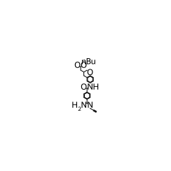 C#CCN=C(N)c1ccc(C(=O)Nc2ccc3c(c2)CC(CC(=O)OCCCC)CO3)cc1